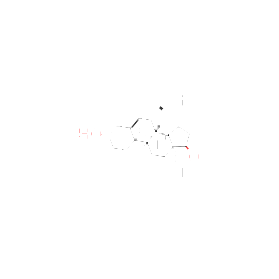 C#C[C@H]1C=C2C[C@@H](O)CC[C@]2(C)[C@H]2CC[C@]3(C)C(=O)CC[C@H]3[C@H]12